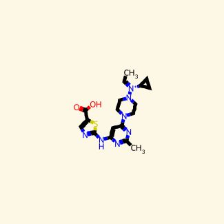 CC=[N+](C1CC1)N1CCN(c2cc(Nc3ncc(C(=O)O)s3)nc(C)n2)CC1